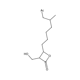 CC(=O)CC(C)CCCCC1OC(=O)C1CO